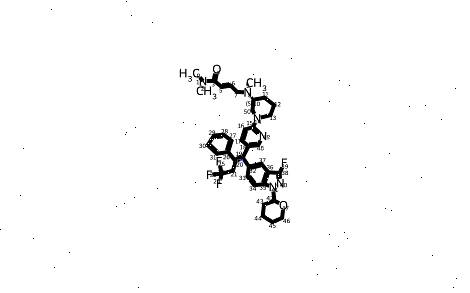 CN(C)C(=O)C=CCN(C)[C@H]1CCCN(c2ccc(/C(=C(/CC(F)(F)F)c3ccccc3)c3ccc4c(c3)c(F)nn4C3CCCCO3)cn2)C1